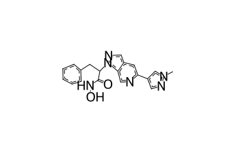 Cn1cc(-c2cc3cnn(C(Cc4ccccc4)C(=O)NO)c3cn2)cn1